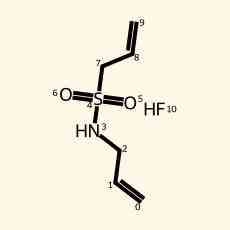 C=CCNS(=O)(=O)CC=C.F